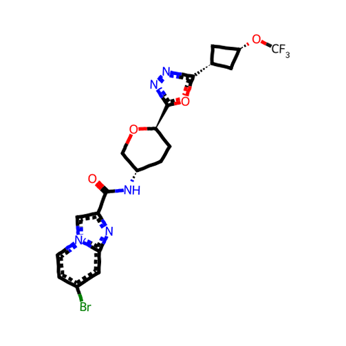 O=C(N[C@H]1CC[C@H](c2nnc([C@H]3C[C@@H](OC(F)(F)F)C3)o2)OC1)c1cn2ccc(Br)cc2n1